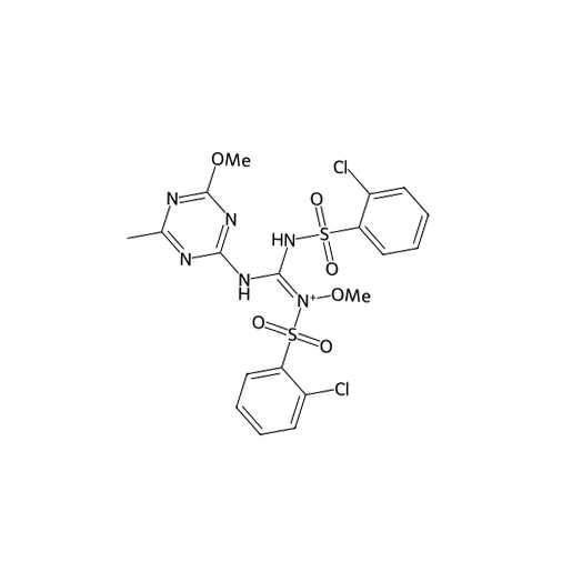 COc1nc(C)nc(NC(NS(=O)(=O)c2ccccc2Cl)=[N+](OC)S(=O)(=O)c2ccccc2Cl)n1